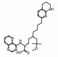 COC(C)(C)CN(CCCCc1ccc2c(n1)NCCC2)CC[C@H](Nc1ncnc2cccnc12)C(=O)O